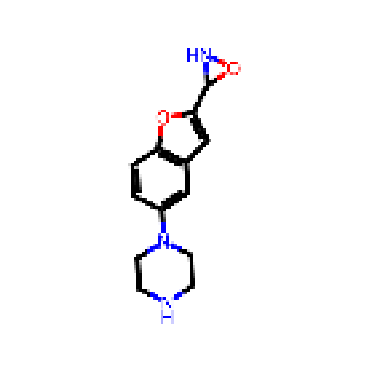 c1cc2oc(C3NO3)cc2cc1N1CCNCC1